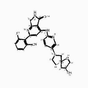 N#Cc1cccc(F)c1-c1cc(Nc2ccc(N3CC[C@]4(C[C@H](O)CO4)C3)cn2)c2c(n1)CNC2=O